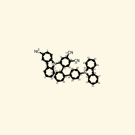 N#Cc1ccc2c(c1)c1ccccc1n2-c1cc(C#N)c(C#N)cc1-c1ccccc1-c1ccc(-n2c3ccccc3c3ccccc32)cc1